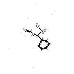 O=COC(c1ccccc1)[N+](=O)[O-]